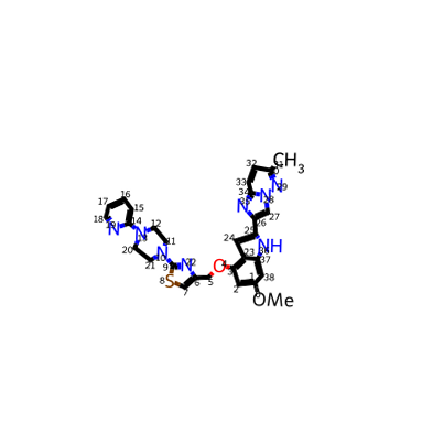 COc1cc(OCc2csc(N3CCN(c4ccccn4)CC3)n2)c2cc(-c3cn4nc(C)ccc4n3)[nH]c2c1